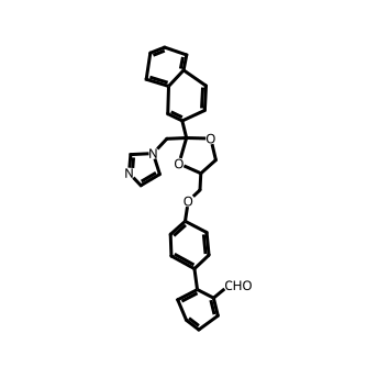 O=Cc1ccccc1-c1ccc(OCC2COC(Cn3ccnc3)(c3ccc4ccccc4c3)O2)cc1